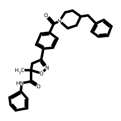 CC1(C(=O)Nc2ccccc2)CC(c2ccc(C(=O)N3CCC(Cc4ccccc4)CC3)cc2)=NO1